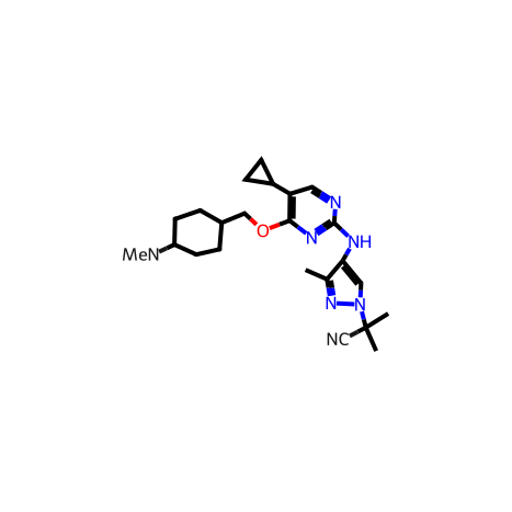 CNC1CCC(COc2nc(Nc3cn(C(C)(C)C#N)nc3C)ncc2C2CC2)CC1